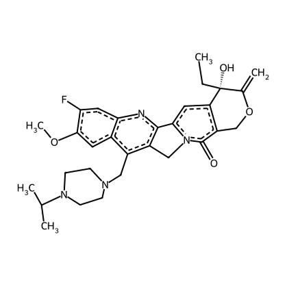 C=C1OCc2c(cc3n(c2=O)Cc2c-3nc3cc(F)c(OC)cc3c2CN2CCN(C(C)C)CC2)[C@@]1(O)CC